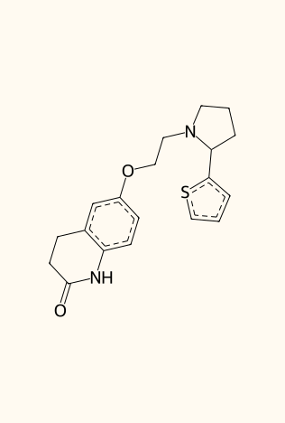 O=C1CCc2cc(OCCN3CCCC3c3cccs3)ccc2N1